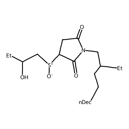 CCCCCCCCCCCCC(CC)CN1C(=O)CC([S+]([O-])CC(O)CC)C1=O